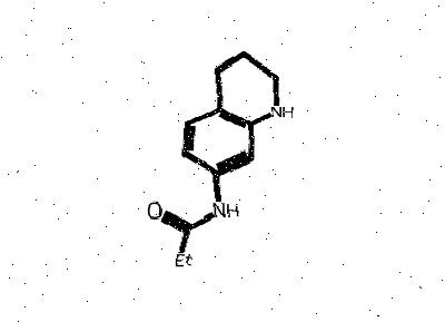 CCC(=O)Nc1ccc2c(c1)NCCC2